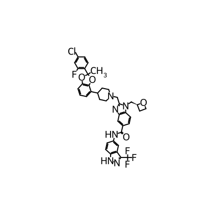 CC1(c2ccc(Cl)cc2F)Oc2cccc(C3CCN(Cc4nc5cc(C(=O)Nc6ccc7[nH]nc(C(F)(F)F)c7c6)ccc5n4C[C@@H]4CCO4)CC3)c2O1